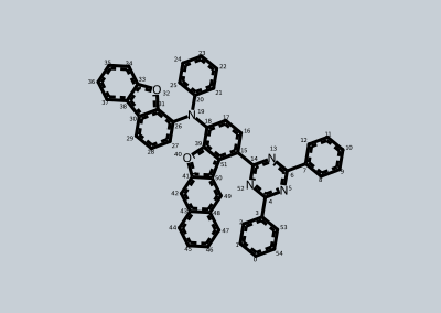 c1ccc(-c2nc(-c3ccccc3)nc(-c3ccc(N(c4ccccc4)c4cccc5c4oc4ccccc45)c4oc5cc6ccccc6cc5c34)n2)cc1